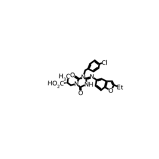 CCc1cc2cc(/N=c3\[nH]c(=O)n(C[C@H](C)C(=O)O)c(=O)n3Cc3ccc(Cl)cc3)ccc2o1